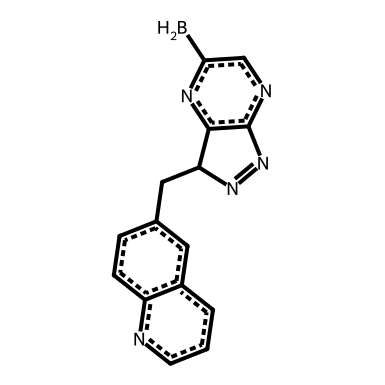 Bc1cnc2c(n1)C(Cc1ccc3ncccc3c1)N=N2